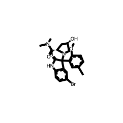 COc1ccc(C)cc1C1(N2C[C@H](O)C[C@H]2C(=O)N(C)C)C(=O)Nc2ccc(Br)cc21